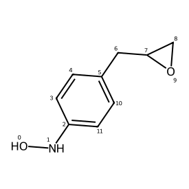 ONc1ccc(CC2CO2)cc1